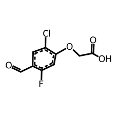 O=Cc1cc(Cl)c(OCC(=O)O)cc1F